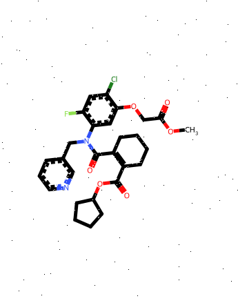 COC(=O)COc1cc(N(Cc2cccnc2)C(=O)C2=C(C(=O)OC3CCCC3)CCCC2)c(F)cc1Cl